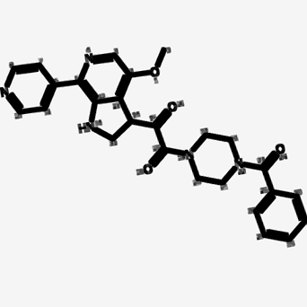 COc1cnc(-c2ccncc2)c2c1C(C(=O)C(=O)N1CCN(C(=O)c3ccccc3)CC1)CN2